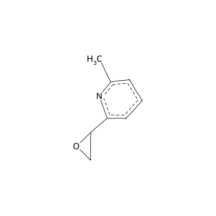 Cc1cccc(C2CO2)n1